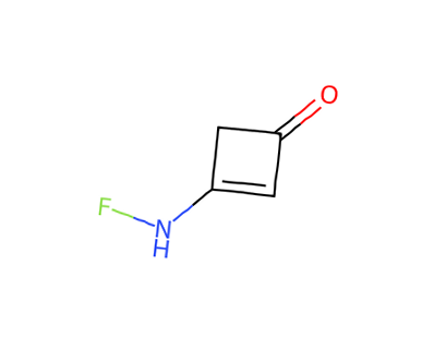 O=C1C=C(NF)C1